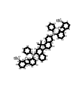 CC(C)(C)c1cccc2c1oc1c(N(c3ccccc3)c3ccc4c5c(ccc4c3)-c3c(cc(N(c4ccccc4)c4cccc6c4oc4c(C(C)(C)C)cccc46)c4ccccc34)C5(C)C)cccc12